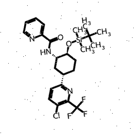 CC(C)(C)[Si](C)(C)O[C@H]1CC[C@H](c2ccc(Cl)c(C(F)(F)F)n2)C[C@@H]1NC(=O)c1ccccn1